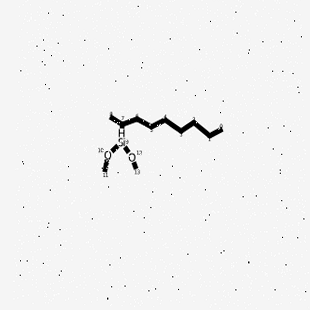 CCCCCCCC(C)[SiH](OC)OC